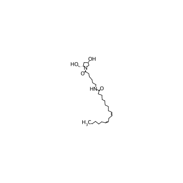 CCCCC/C=C\C/C=C\CCCCCCCC(=O)NCCCCCC(=O)N1C[C@H](O)C[C@H]1CO